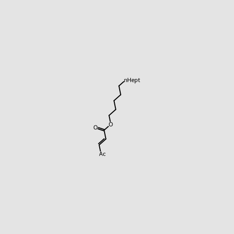 CCCCCCCCCCCCOC(=O)/C=C/C(C)=O